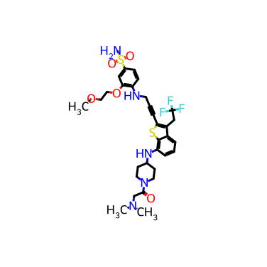 COCCOc1cc(S(N)(=O)=O)ccc1NCC#Cc1sc2c(NC3CCN(C(=O)CN(C)C)CC3)cccc2c1CC(F)(F)F